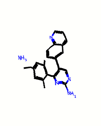 Cc1cc(C)c(-c2nc(N)ncc2-c2ccc3ncccc3c2)c(C)c1.N